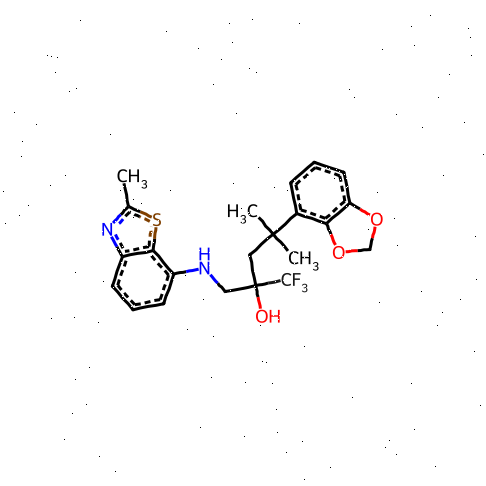 Cc1nc2cccc(NCC(O)(CC(C)(C)c3cccc4c3OCO4)C(F)(F)F)c2s1